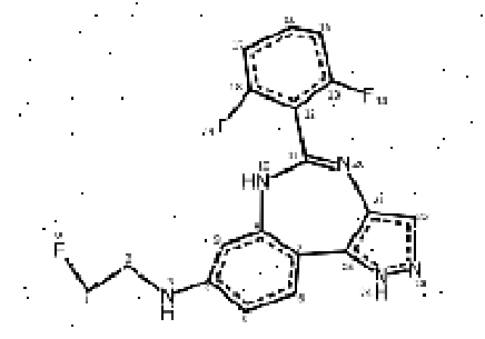 FCCNc1ccc2c(c1)NC(c1c(F)cccc1F)=Nc1cn[nH]c1-2